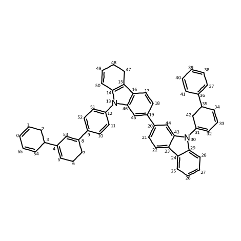 C1=CCC(C2=CCCC(c3ccc(-n4c5c(c6ccc(-c7ccc8c9ccccc9n(C9=CC=CC(c%10ccccc%10)C9)c8c7)cc64)CCC=C5)cc3)=C2)C=C1